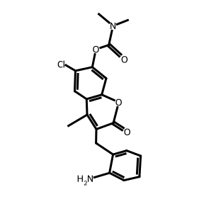 Cc1c(Cc2ccccc2N)c(=O)oc2cc(OC(=O)N(C)C)c(Cl)cc12